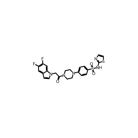 O=C(Cn1ccc2cc(F)c(F)cc21)N1CCN(c2ccc(S(=O)(=O)Nc3nccs3)cc2)CC1